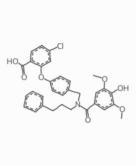 COc1cc(C(=O)N(CCCc2ccccc2)Cc2ccc(Oc3cc(Cl)ccc3C(=O)O)cc2)cc(OC)c1O